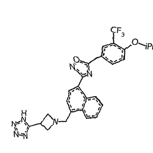 CC(C)Oc1ccc(-c2nc(-c3ccc(CN4CC(c5nnn[nH]5)C4)c4ccccc34)no2)cc1C(F)(F)F